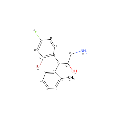 Cc1ccccc1C(c1ccc(F)cc1Br)C(O)CN